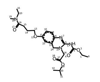 CCOC(=O)NC1=Nc2ccc(OCCCC(=O)N(C)CC)cc2CN1CC(=O)OC(C)C